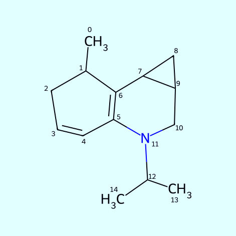 CC1CC=CC2=C1C1CC1CN2C(C)C